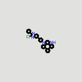 Clc1nc2cc(-c3ccc(-n4c5cccc6c7ccccc7c7cccc8[nH]c9ccc4c(c9c87)c65)cc3)ccc2nc1-c1ccccc1